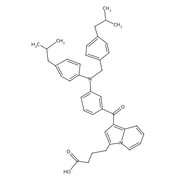 CC(C)Cc1ccc(CN(c2ccc(CC(C)C)cc2)c2cccc(C(=O)c3cc(CCCC(=O)O)n4ccccc34)c2)cc1